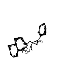 N[C@]1(Cc2ccc3ccccc3c2)C[C@@H]1c1ccccc1